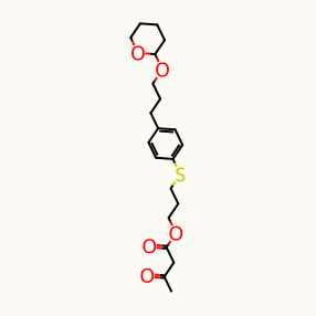 CC(=O)CC(=O)OCCCSc1ccc(CCCOC2CCCCO2)cc1